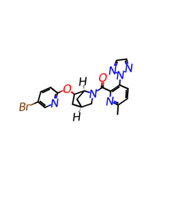 Cc1ccc(-n2nccn2)c(C(=O)N2C[C@H]3C[C@@H](Oc4ccc(Br)cn4)[C@@H]2C3)n1